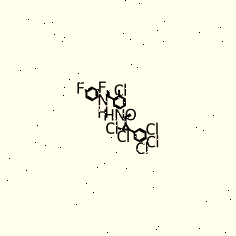 C=C(Nc1ccc(F)cc1F)c1cc(NC(=O)C2C(c3cc(Cl)c(Cl)c(Cl)c3)C2(Cl)Cl)ccc1Cl